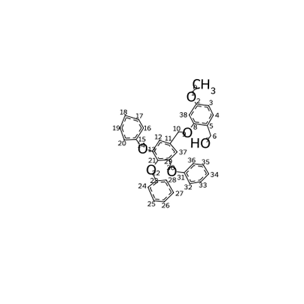 COc1ccc(CO)c(OCc2cc(Oc3ccccc3)c(Oc3ccccc3)c(Oc3ccccc3)c2)c1